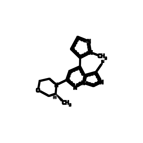 C[C@@H]1COCCN1c1cc(-c2ccnn2C)c2c(F)ncn2n1